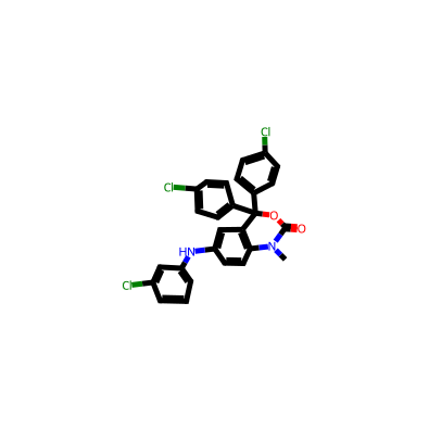 CN1C(=O)OC(c2ccc(Cl)cc2)(c2ccc(Cl)cc2)c2cc(Nc3cccc(Cl)c3)ccc21